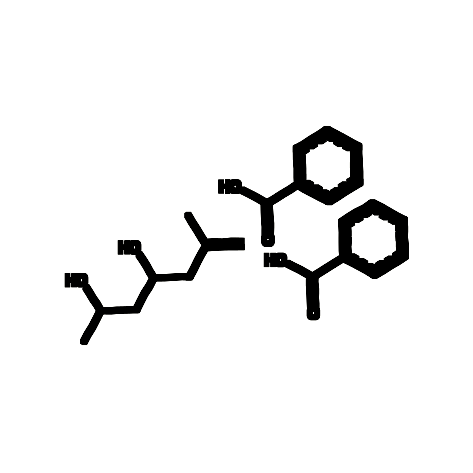 C=C(C)CC(O)CC(C)O.O=C(O)c1ccccc1.O=C(O)c1ccccc1